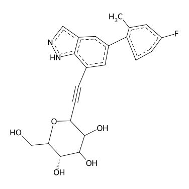 Cc1cc(F)ccc1-c1cc(C#CC2OC(CO)[C@@H](O)C(O)C2O)c2[nH]ncc2c1